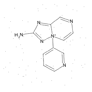 NC1=N[N+]2(c3cccnc3)C=CN=CC2=N1